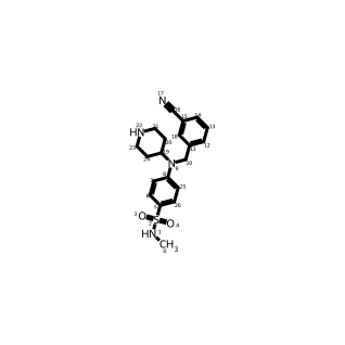 CNS(=O)(=O)c1ccc(N(Cc2cccc(C#N)c2)C2CCNCC2)cc1